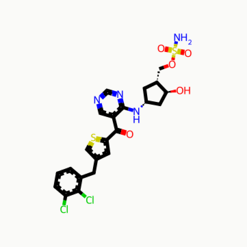 NS(=O)(=O)OC[C@H]1C[C@@H](Nc2ncncc2C(=O)c2cc(Cc3cccc(Cl)c3Cl)cs2)C[C@@H]1O